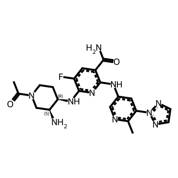 CC(=O)N1CC[C@@H](Nc2nc(Nc3cnc(C)c(-n4nccn4)c3)c(C(N)=O)cc2F)[C@@H](N)C1